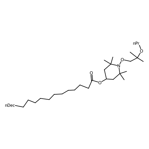 CCCCCCCCCCCCCCCCCCCCCC(=O)OC1CC(C)(C)N(OCC(C)(C)OCCC)C(C)(C)C1